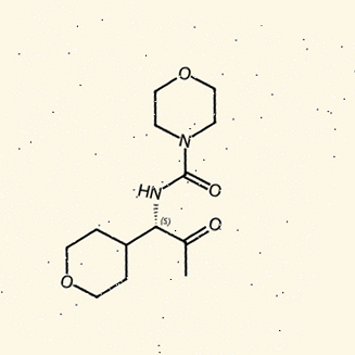 CC(=O)[C@@H](NC(=O)N1CCOCC1)C1CCOCC1